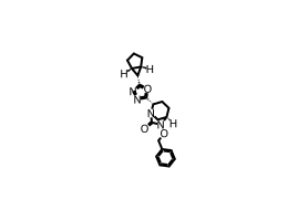 O=C1N2C[C@@H](CC[C@H]2c2nnc([C@@H]3[C@@H]4CCC[C@@H]43)o2)N1OCc1ccccc1